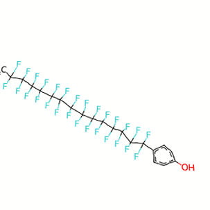 Oc1ccc(C(F)(F)C(F)(F)C(F)(F)C(F)(F)C(F)(F)C(F)(F)C(F)(F)C(F)(F)C(F)(F)C(F)(F)C(F)(F)C(F)(F)C(F)(F)C(F)(F)C(F)(F)F)cc1